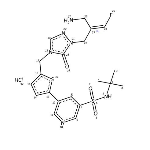 CC(C)(C)NS(=O)(=O)c1cncc(-c2ccc(Cn3cnn(C/C(=C/F)CN)c3=O)s2)c1.Cl